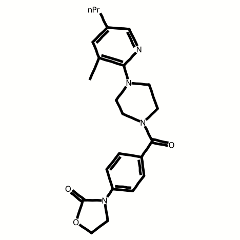 CCCc1cnc(N2CCN(C(=O)c3ccc(N4CCOC4=O)cc3)CC2)c(C)c1